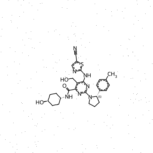 Cc1ccc([C@@H]2CCCN2c2nc(Nc3ncc(C#N)s3)c(CO)c(C(=O)N[C@H]3CC[C@H](O)CC3)n2)cc1